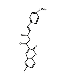 COc1ccc(C=CC(=O)CC(=O)c2cc3cc(I)ccc3sc2=O)cc1